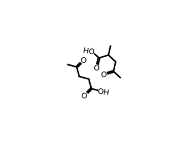 CC(=O)CC(C)C(=O)O.CC(=O)CCC(=O)O